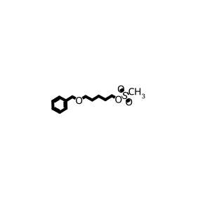 CS(=O)(=O)OCCCCCOCc1ccccc1